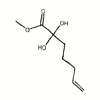 C=CCCCC(O)(O)C(=O)OC